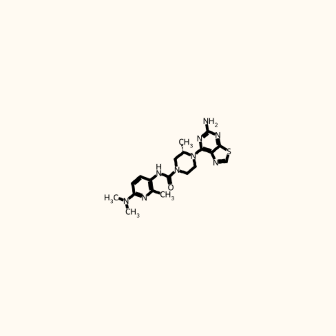 Cc1nc(N(C)C)ccc1NC(=O)N1CCN(c2nc(N)nc3scnc23)[C@@H](C)C1